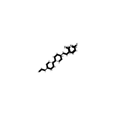 CCC[C@H]1CC[C@H]([C@H]2CC[C@H](CCc3ccc(F)nc3F)CC2)CC1